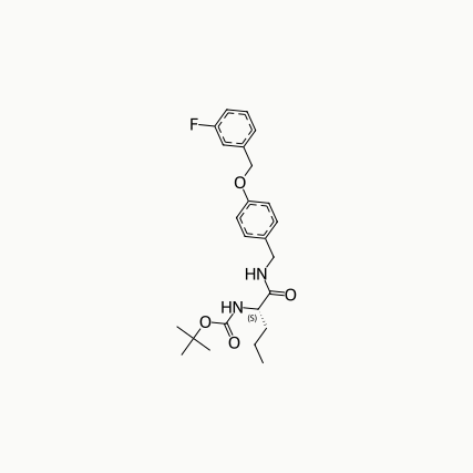 CCC[C@H](NC(=O)OC(C)(C)C)C(=O)NCc1ccc(OCc2cccc(F)c2)cc1